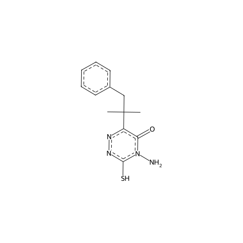 CC(C)(Cc1ccccc1)c1nnc(S)n(N)c1=O